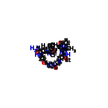 CCOc1cc(N2CCC(C(=O)N3CCN(CCOc4ccc(Nc5cc(-n6nc(C(F)(F)F)c7c6CC(C)(C)CC7=O)ccc5C(N)=O)cc4)CC3)CC2)ccc1Nc1ncc2c(n1)N(C)c1ccccc1C(=O)N2C